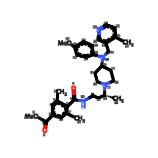 COC(=O)c1cc(C)c(C(=O)NCC[C@@H](C)N2CCC(N(Cc3cnccc3C)c3ccc(OC)cc3)CC2)c(C)c1